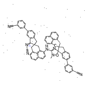 CN1OC2(N=C1Nc1ccc3cccc4c3c1CC1(Cc3ccc(-c5cccc(C#N)c5)cc3/C1=N/C#N)C4)c1cc(-c3cccc(C#N)c3)ccc1CC21Cc2cccc3cccc(c23)C1